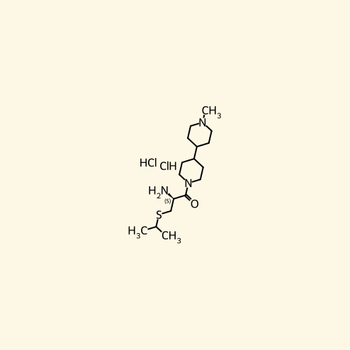 CC(C)SC[C@@H](N)C(=O)N1CCC(C2CCN(C)CC2)CC1.Cl.Cl